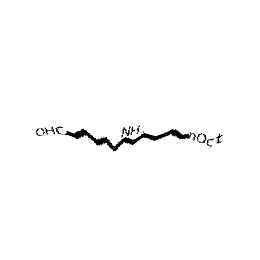 CCCCCCCCCCCCCCCCCCCC=O.N